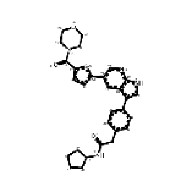 O=C(Cc1ccc(-c2c[nH]c3ncc(-c4ccc(C(=O)N5CCOCC5)s4)cc23)cc1)NC1CCCC1